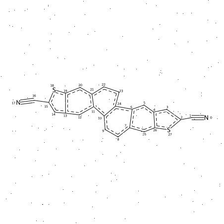 N#Cc1cc2cc3c(ccc4c5cc6cc(C#N)sc6cc5ccc34)cc2s1